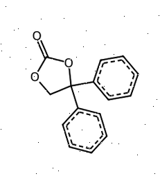 O=C1OCC(c2ccccc2)(c2ccccc2)O1